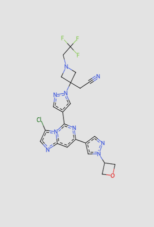 N#CCC1(n2cc(-c3nc(-c4cnn(C5COC5)c4)cc4ncc(Cl)n34)cn2)CN(CC(F)(F)F)C1